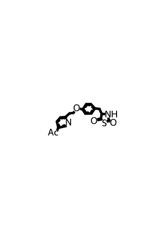 CC(=O)c1ccc(CCOc2ccc(CC3NC(=O)SC3=O)cc2)nc1